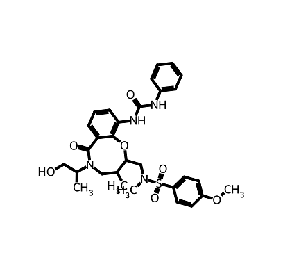 COc1ccc(S(=O)(=O)N(C)CC2Oc3c(NC(=O)Nc4ccccc4)cccc3C(=O)N(C(C)CO)CC2C)cc1